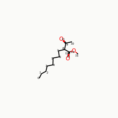 CCCCCCCCC(C(C)=O)C(=O)OC